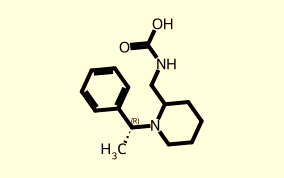 C[C@H](c1ccccc1)N1CCCCC1CNC(=O)O